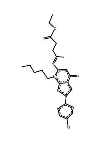 CCCCCn1c(/N=C(\C)CCC(=O)OCC)cc(=O)n2cc(-c3ccc(Cl)cc3)nc12